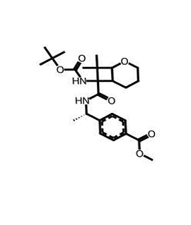 COC(=O)c1ccc([C@H](C)NC(=O)C2(NC(=O)OC(C)(C)C)C3CCCOC3C2(C)C)cc1